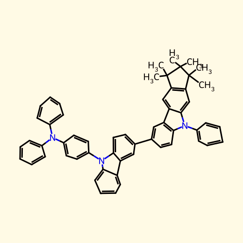 CC1(C)c2cc3c4cc(-c5ccc6c(c5)c5ccccc5n6-c5ccc(N(c6ccccc6)c6ccccc6)cc5)ccc4n(-c4ccccc4)c3cc2C(C)(C)C1(C)C